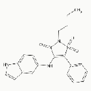 CCCCN1C(=O)C(Nc2ccc3[nH]ccc3c2)=C(c2ccccc2)S1(=O)=O